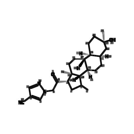 CC1C[C@H](C(=O)Cn2cc(C#N)cn2)[C@@]2(C)CC[C@H]3[C@@H](CC[C@@H]4C[C@](C)(O)CC[C@@H]43)[C@H]12